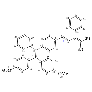 CCC(CC)=C(/C=C/c1ccc(C(=C(c2ccc(OC)cc2)c2ccc(OC)cc2)c2ccccc2)cc1)c1ccccc1